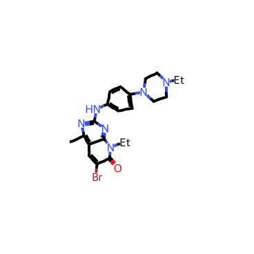 CCN1CCN(c2ccc(Nc3nc(C)c4cc(Br)c(=O)n(CC)c4n3)cc2)CC1